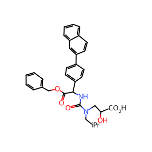 CC(C)CN(CC(O)C(=O)O)C(=O)NC(C(=O)OCc1ccccc1)c1ccc(-c2ccc3ccccc3c2)cc1